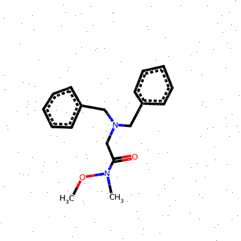 CON(C)C(=O)CN(Cc1ccccc1)Cc1ccccc1